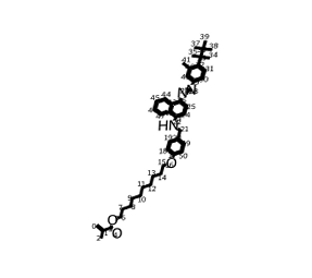 C=C(C)C(=O)OCCCCCCCCCCOc1ccc(CNc2ccc(/N=N/c3ccc(C(C)(C)C(C)(C)C)c(C)c3)c3ccccc23)cc1